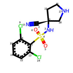 N#C[C@@]1(NS(=O)(=O)c2c(Cl)cccc2Cl)CCNC1